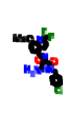 COc1ccc(-c2nc(C(=O)NCc3ccc(Cl)cc3)c(CN)o2)c2ccc(C(F)F)nc12